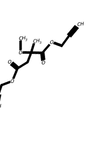 C#CCOC(=O)CC(C)(OC)C(=O)OCC#C